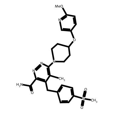 COc1ccc(OC2CCN(c3nnc(C(N)=O)c(Cc4ccc(S(C)(=O)=O)cc4)c3C)CC2)cn1